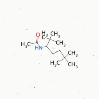 CC(=O)NC(CCC(C)(C)C)C(C)(C)C